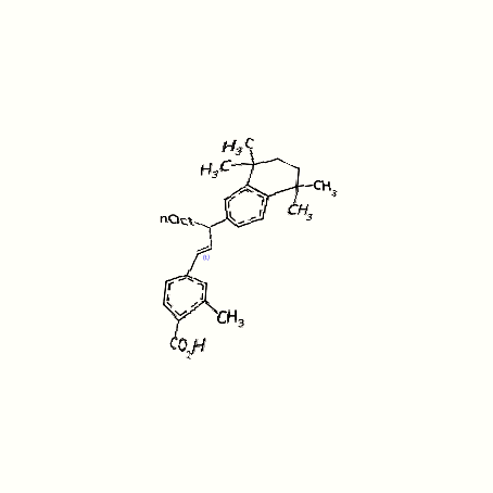 CCCCCCCCC(/C=C/c1ccc(C(=O)O)c(C)c1)c1ccc2c(c1)C(C)(C)CCC2(C)C